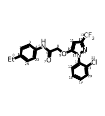 CCc1ccc(NC(=O)COc2cc(C(F)(F)F)nn2-c2ccccc2Cl)cc1